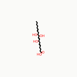 CCCCCC=CCC(O)C(O)C=CC(O)CC=CCCCC(=O)O